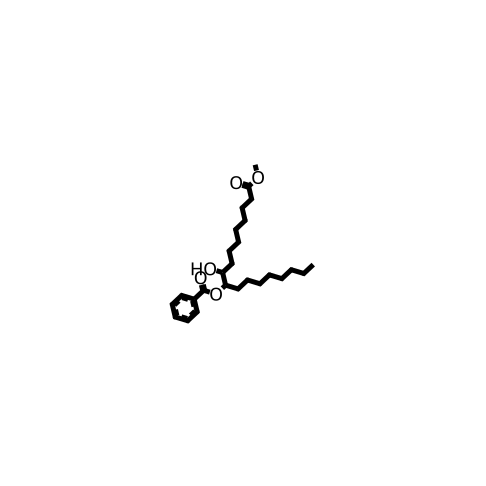 CCCCCCCCC(OC(=O)c1ccccc1)C(O)CCCCCCCC(=O)OC